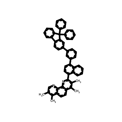 Cc1cnc2c(ccc3c(C)c(C)c(-c4ccc(-c5cccc(-c6ccc7c(c6)C(c6ccccc6)(c6ccccc6)c6ccccc6-7)c5)c5ccccc45)nc32)c1C